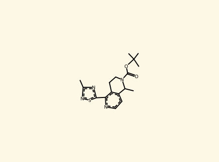 Cc1nsc(-c2nccc3c2CCN(C(=O)OC(C)(C)C)C3C)n1